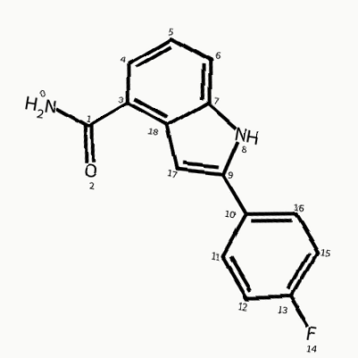 NC(=O)c1cccc2[nH]c(-c3ccc(F)cc3)cc12